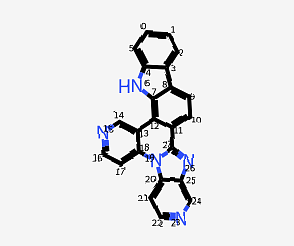 c1ccc2c(c1)[nH]c1c2ccc2c1c1cnccc1n1c3ccncc3nc21